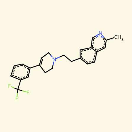 Cc1cc2ccc(CCN3CC=C(c4cccc(C(F)(F)F)c4)CC3)cc2cn1